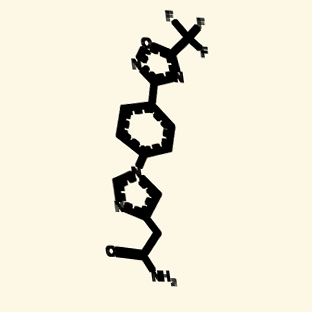 NC(=O)Cc1cn(-c2ccc(-c3noc(C(F)(F)F)n3)cc2)cn1